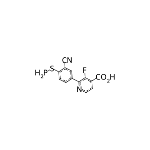 N#Cc1cc(-c2nccc(C(=O)O)c2F)ccc1SP